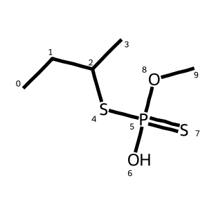 CCC(C)SP(O)(=S)OC